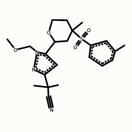 COCn1nc(C(C)(C)C#N)cc1C1CC(C)(S(=O)(=O)c2cccc(C)c2)CCO1